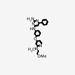 COCCN(C)c1cc(Oc2cccc(Nc3cc(-c4ccccc4)nc(N)n3)c2)ccn1